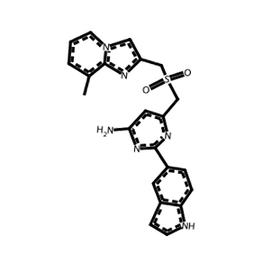 Cc1cccn2cc(CS(=O)(=O)Cc3cc(N)nc(-c4ccc5[nH]ccc5c4)n3)nc12